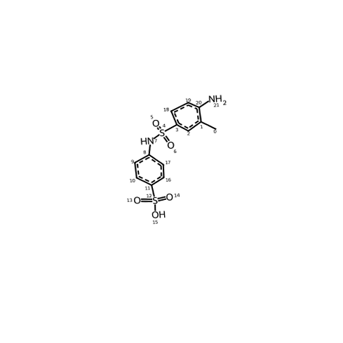 Cc1cc(S(=O)(=O)Nc2ccc(S(=O)(=O)O)cc2)ccc1N